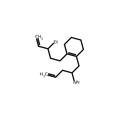 C=CCC(CCC)CC1=C(CCC(C=C)CC)CCCC1